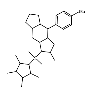 CC1CC2C(CC3CCCC3C2c2ccc(C(C)(C)C)cc2)C1S(C)(C)C1C(C)C(C)C(C)C1C